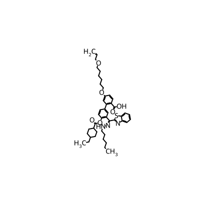 C=CCOCCCCCCOc1ccc(C(=O)O)c(-c2ccc(OC(=O)C3CCC(CC)CC3)c(C(=NNCCCCCC)c3nc4ccccc4s3)c2)c1